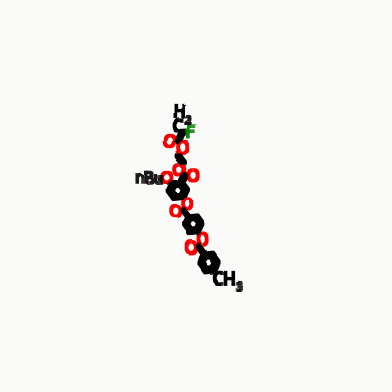 C=C(F)C(=O)OCCOC(=O)c1cc(OC(=O)c2ccc(OC(=O)c3ccc(C)cc3)cc2)ccc1OCCCC